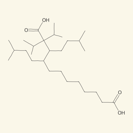 CC(C)CCC(CCCCCCCC(=O)O)C(CCC(C)C)C(C(=O)O)(C(C)C)C(C)C